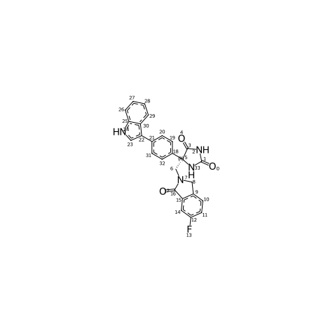 O=C1NC(=O)[C@](CN2Cc3ccc(F)cc3C2=O)(c2ccc(-c3c[nH]c4ccccc34)cc2)N1